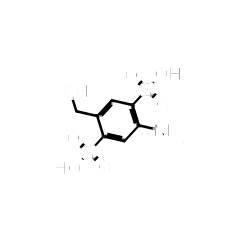 CCc1cc(S(=O)(=O)O)c(N)cc1S(=O)(=O)O